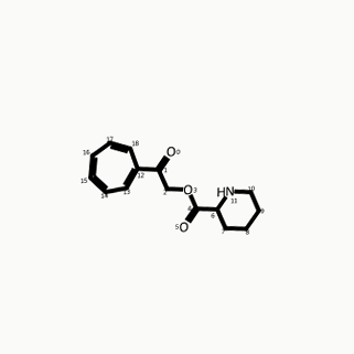 O=C(COC(=O)C1CCCCN1)C1=CC=C=CC=C1